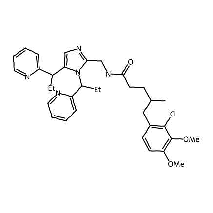 CCC(c1ccccn1)c1cnc(C[N]C(=O)CCC(C)Cc2ccc(OC)c(OC)c2Cl)n1C(CC)c1ccccn1